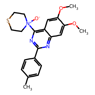 COc1cc2nc(-c3ccc(C)cc3)nc([N+]3([O-])CCSCC3)c2cc1OC